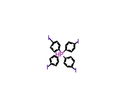 Ic1ccc([PH](c2ccc(I)cc2)(c2ccc(I)cc2)c2ccc(I)cc2)cc1